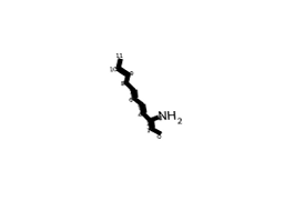 C/C=C(N)/C=C/C=C/C/C=C/C